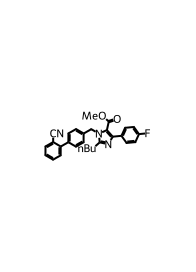 CCCCc1nc(-c2ccc(F)cc2)c(C(=O)OC)n1Cc1ccc(-c2ccccc2C#N)cc1